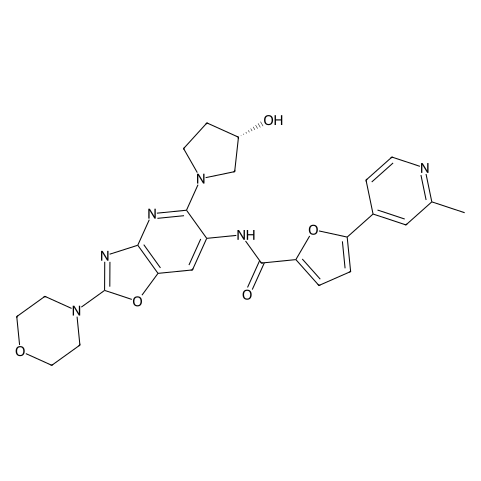 Cc1cc(-c2ccc(C(=O)Nc3cc4oc(N5CCOCC5)nc4nc3N3CC[C@H](O)C3)o2)ccn1